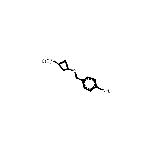 CCOC(=O)[C@H]1C[C@@H](OCc2ccc(N)cc2)C1